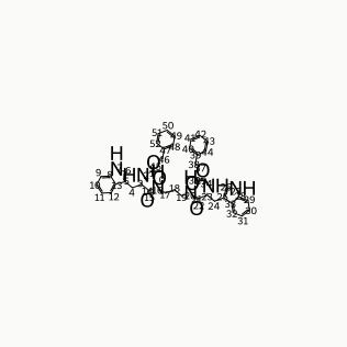 O=C(NC(Cc1c[nH]c2ccccc12)C(=O)NCCCNC(=O)C(Cc1c[nH]c2ccccc12)NC(=O)OCc1ccccc1)OCc1ccccc1